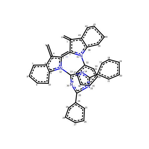 C=c1/c(=c2\c(=C)c3ccccc3n2-c2nc(-c3ccccc3)nc(-c3ccccc3)n2)n(-c2ccccc2)c2ccccc12